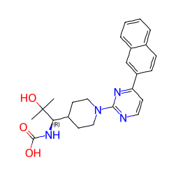 CC(C)(O)[C@H](NC(=O)O)C1CCN(c2nccc(-c3ccc4ccccc4c3)n2)CC1